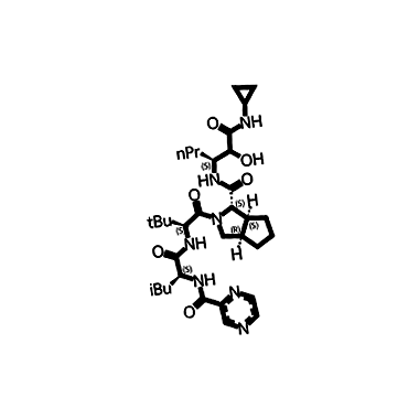 CCC[C@H](NC(=O)[C@@H]1[C@H]2CCC[C@H]2CN1C(=O)[C@@H](NC(=O)[C@@H](NC(=O)c1cnccn1)C(C)CC)C(C)(C)C)C(O)C(=O)NC1CC1